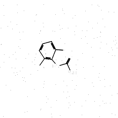 Cc1cccc(F)c1NC(N)=S